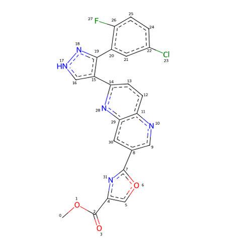 COC(=O)c1coc(-c2cnc3ccc(-c4c[nH]nc4-c4cc(Cl)ccc4F)nc3c2)n1